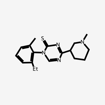 CCc1cccc(C)c1-n1cnc(C2CCCN(C)C2)nc1=S